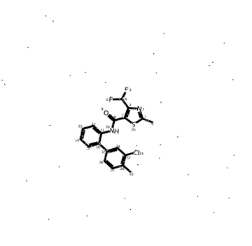 Cc1nc(C(F)F)c(C(=O)Nc2ccccc2-c2ccc(C)c(Cl)c2)s1